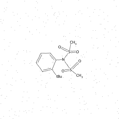 CC(C)(C)c1ccccc1N(S(C)(=O)=O)S(C)(=O)=O